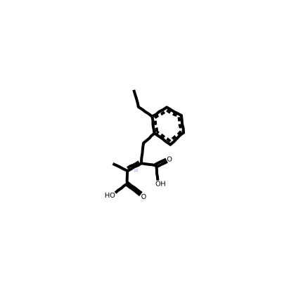 CCc1ccccc1C/C(C(=O)O)=C(\C)C(=O)O